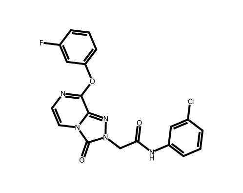 O=C(Cn1nc2c(Oc3cccc(F)c3)nccn2c1=O)Nc1cccc(Cl)c1